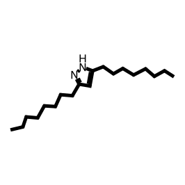 CCCCCCCCc1cc(CCCCCCCC)[nH]n1